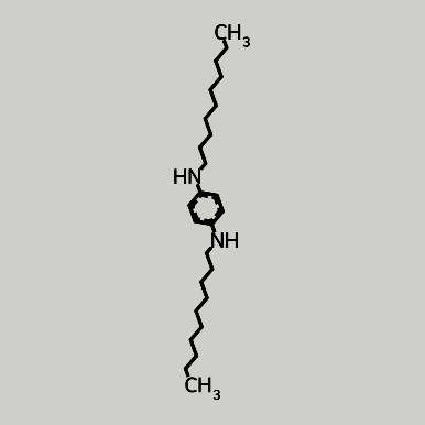 CCCCCCCCCCNc1ccc(NCCCCCCCCCC)cc1